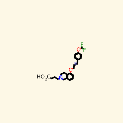 O=C(O)CCCN1CCc2c(cccc2OC/C=C/c2ccc(OC(F)F)cc2)C1